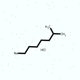 CC(C)CCCC[CH2][Na].Cl